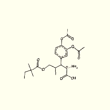 CCC(C)(C)C(=O)OCC(C)C(c1ccc(OC(C)=O)c(OC(C)=O)c1)[C@H](N)C(=O)O